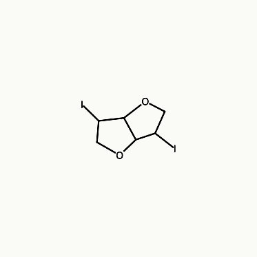 IC1COC2C(I)COC12